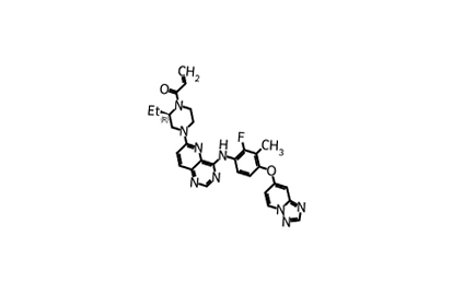 C=CC(=O)N1CCN(c2ccc3ncnc(Nc4ccc(Oc5ccn6ncnc6c5)c(C)c4F)c3n2)C[C@H]1CC